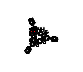 CSN1c2cc3c(cc2B2c4cc5c(cc4Oc4cc(C67CC8CC(CC(C8)C6)C7)cc1c42)Oc1cc(C24CC6CC(CC(C6)C2)C4)cc2c1B5c1sc4ccccc4c1O2)B1c2sc4ccccc4c2Oc2cc(C45CC6CC(CC(C6)C4)C5)cc(c21)N3